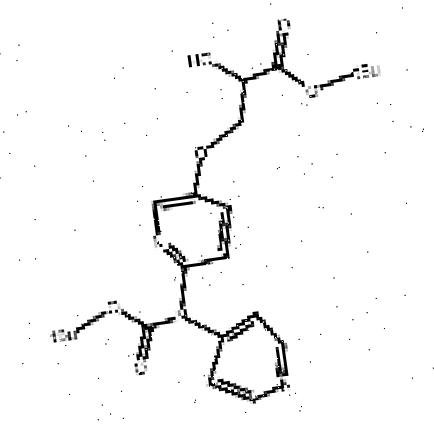 CC(C)(C)OC(=O)C(O)COc1ccc(N(C(=O)OC(C)(C)C)c2ccncc2)nc1